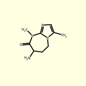 Cc1cnc2n1CCC(N)C(=O)N2C